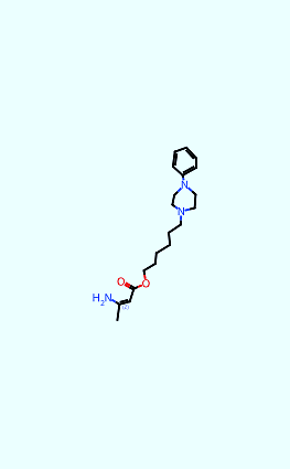 C/C(N)=C/C(=O)OCCCCCCN1CCN(c2ccccc2)CC1